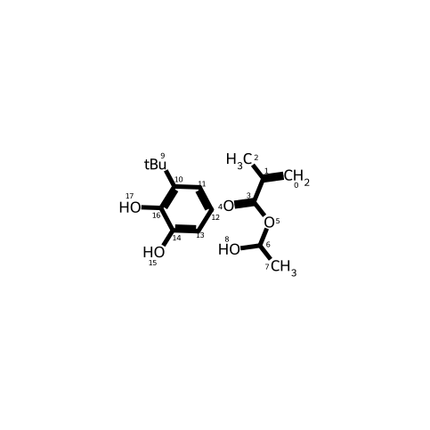 C=C(C)C(=O)OC(C)O.CC(C)(C)c1cccc(O)c1O